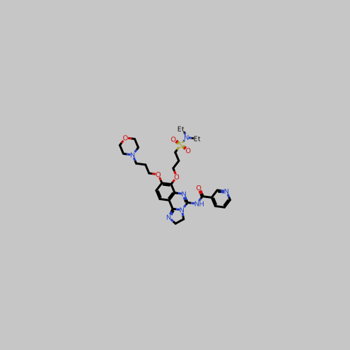 CCN(CC)S(=O)(=O)CCCOc1c(OCCCN2CCOCC2)ccc2c1N=C(NC(=O)c1cccnc1)N1CCN=C21